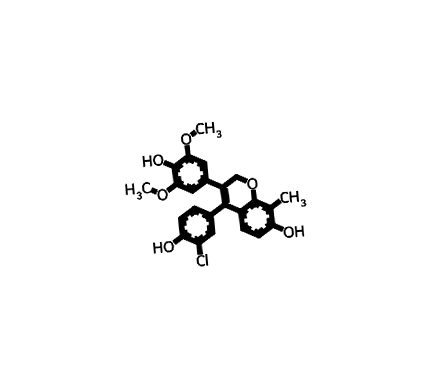 COc1cc(C2=C(c3ccc(O)c(Cl)c3)c3ccc(O)c(C)c3OC2)cc(OC)c1O